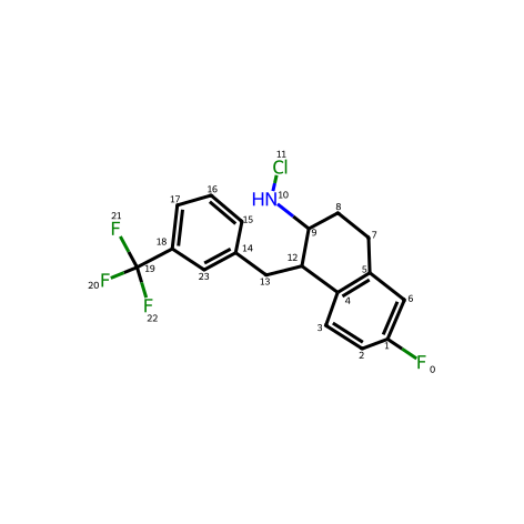 Fc1ccc2c(c1)CCC(NCl)C2Cc1cccc(C(F)(F)F)c1